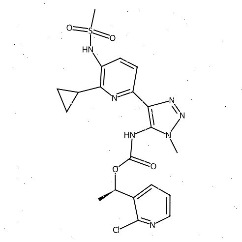 C[C@@H](OC(=O)Nc1c(-c2ccc(NS(C)(=O)=O)c(C3CC3)n2)nnn1C)c1cccnc1Cl